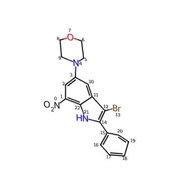 O=[N+]([O-])c1cc(N2CCOCC2)cc2c(Br)c(-c3ccccc3)[nH]c12